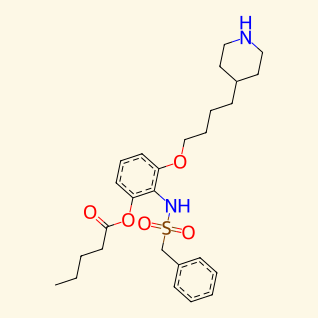 CCCCC(=O)Oc1cccc(OCCCCC2CCNCC2)c1NS(=O)(=O)Cc1ccccc1